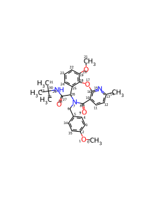 COc1ccc(CN2C(=O)c3ccc(C)nc3Oc3c(OC)cccc3C2C(=O)NC(C)(C)C)cc1